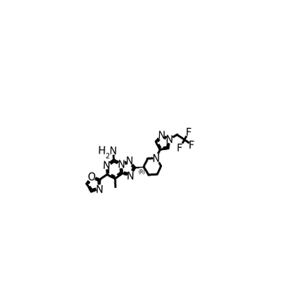 Cc1c(-c2ncco2)nc(N)n2nc([C@@H]3CCCN(c4cnn(CC(F)(F)F)c4)C3)nc12